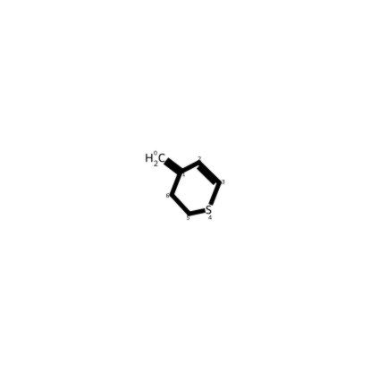 C=C1C=CS[CH]C1